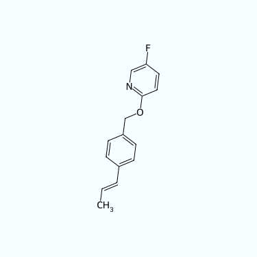 C/C=C/c1ccc(COc2ccc(F)cn2)cc1